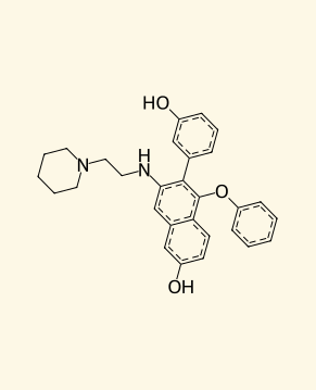 Oc1cccc(-c2c(NCCN3CCCCC3)cc3cc(O)ccc3c2Oc2ccccc2)c1